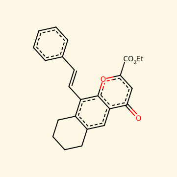 CCOC(=O)c1cc(=O)c2cc3c(c(C=Cc4ccccc4)c2o1)CCCC3